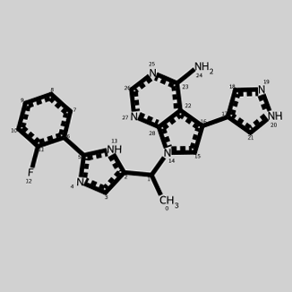 CC(c1cnc(-c2ccccc2F)[nH]1)n1cc(-c2cn[nH]c2)c2c(N)ncnc21